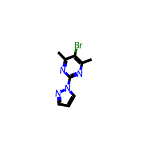 Cc1nc(-n2cccn2)nc(C)c1Br